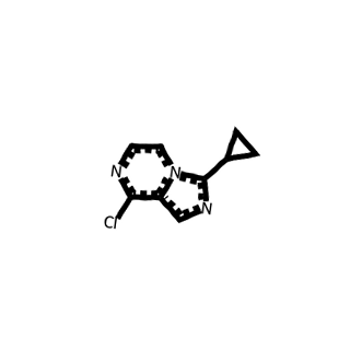 Clc1nccn2c(C3CC3)ncc12